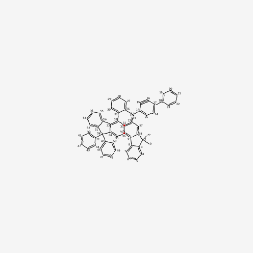 CC1(C)c2ccccc2-c2ccc(N(c3c#cc(-c4ccccc4)cc3)c3ccccc3C3=C4C(=CCC3)C(c3ccccc3)(c3ccccc3)c3ccccc34)cc21